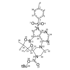 Cc1ccc(S(=O)(=O)n2cc(B3OC(C)(C)C(C)(C)O3)c3c(N4CCN(C(=O)OC(C)(C)C)CC4C)ncnc32)cc1